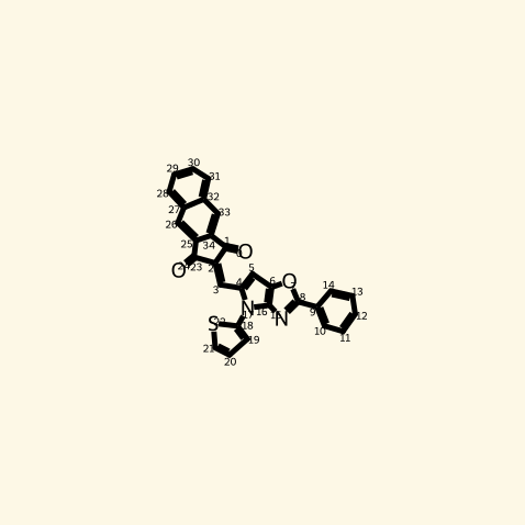 O=C1C(=Cc2cc3oc(-c4ccccc4)nc3n2-c2cccs2)C(=O)c2cc3ccccc3cc21